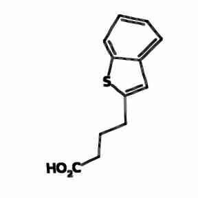 O=C(O)CCCc1cc2ccccc2s1